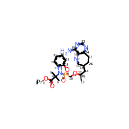 CC(C)OC(=O)C(C)(C)N[P@](=O)(CO[C@H](C)CC1C=Nc2c(N)ncnc2CC1)Oc1ccccc1